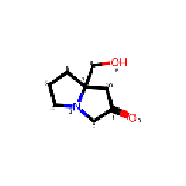 O=C1CN2CCCC2(CO)C1